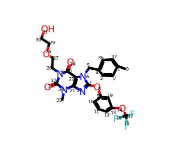 Cc1ccc(Cn2c(Oc3cccc(OC(F)(F)F)c3)nc3c2c(=O)n(CCOCCO)c(=O)n3C)cc1